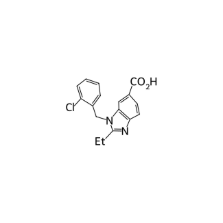 CCc1nc2ccc(C(=O)O)cc2n1Cc1ccccc1Cl